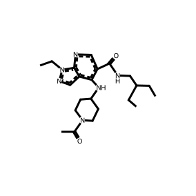 CCC(CC)CNC(=O)c1cnc2c(cnn2CC)c1NC1CCN(C(C)=O)CC1